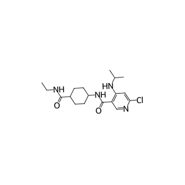 CCNC(=O)C1CCC(NC(=O)c2cnc(Cl)cc2NC(C)C)CC1